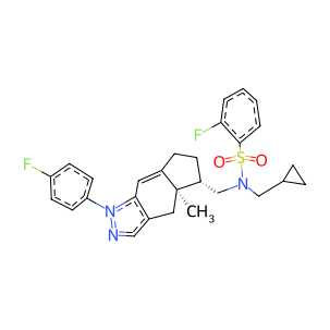 C[C@]12Cc3cnn(-c4ccc(F)cc4)c3C=C1CC[C@@H]2CN(CC1CC1)S(=O)(=O)c1ccccc1F